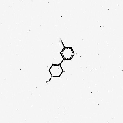 CC(C)N1CC=C(c2cncc(Cl)c2)CC1